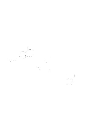 COc1ccc2nccc(C(F)CC[C@@H]3CCN(CCCCc4cccc(F)c4F)C[C@@H]3CC(=O)O)c2c1